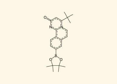 CC(C)(C)c1cc(=O)nc2c3ccc(B4OC(C)(C)C(C)(C)O4)cc3ccn12